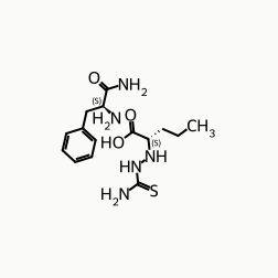 CCC[C@H](NNC(N)=S)C(=O)O.NC(=O)[C@@H](N)Cc1ccccc1